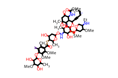 C/C=C\C#CC(OC1OC(C)C(NOC2CC(O)C(SC(=O)c3c(C)c(I)c(OC4OC(C)C(O)C(OC)C4O)c(OC)c3OC)C(C)O2)C(O)C1OC1CC(OC)C(NCC)CO1)C1/C(=C\CSSSC)[C@@](C)(O)CC(=O)C1NC(=O)OC